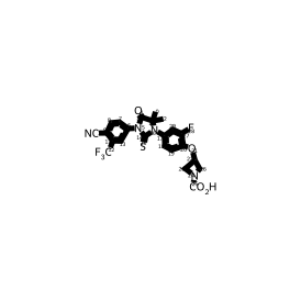 CC1(C)C(=O)N(c2ccc(C#N)c(C(F)(F)F)c2)C(=S)N1c1ccc(OC2CN(C(=O)O)C2)c(F)c1